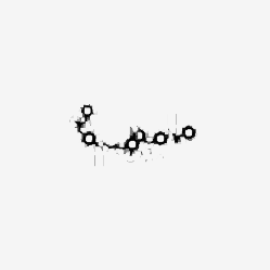 COc1cc2c(Oc3ccc(NC(=O)c4ccccc4)cc3)ccnc2cc1OCCCNc1ccc(CC(=O)OC2CCCC2)cc1